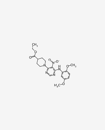 CCOC(=O)C1CCN(c2ncnc(Nc3cc(OC)ccc3OC)c2[N+](=O)[O-])CC1